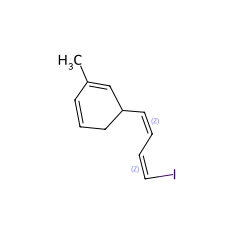 CC1=CC(/C=C\C=C/I)CC=C1